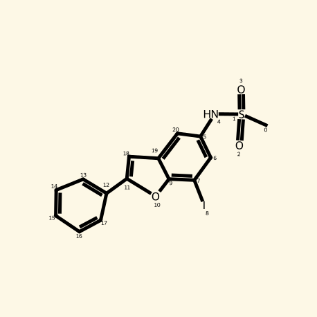 CS(=O)(=O)Nc1cc(I)c2oc(-c3ccccc3)cc2c1